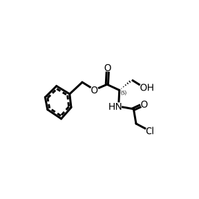 O=C(CCl)N[C@@H](CO)C(=O)OCc1ccccc1